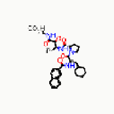 CC(C)C(NC(=O)[C@@H]1CCCN1C(=O)[C@@H](CC1CCCCC1)NC(=O)c1ccc2ccccc2c1)C(=O)C(=O)NCC(=O)O